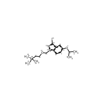 CC(C)Oc1ccc2c(c1)c(I)nn2COCC[Si](C)(C)C